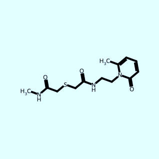 CNC(=O)CSCC(=O)NCCn1c(C)cccc1=O